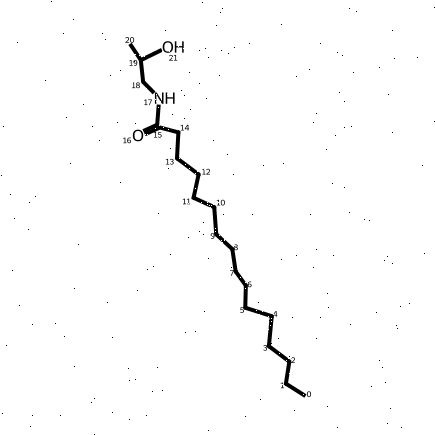 CCCCCCCCCCCCCCCC(=O)NCC(C)O